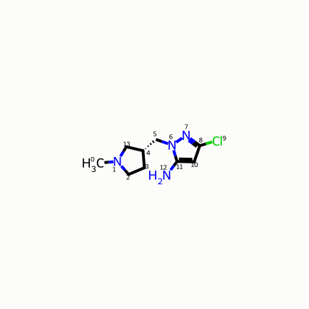 CN1CC[C@@H](Cn2nc(Cl)cc2N)C1